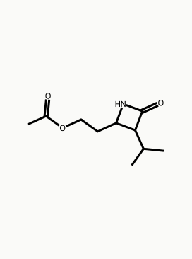 CC(=O)OCCC1NC(=O)C1C(C)C